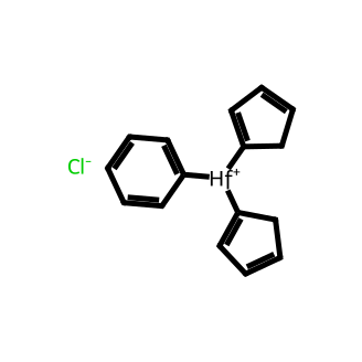 C1=CC[C]([Hf+]([C]2=CC=CC2)[c]2ccccc2)=C1.[Cl-]